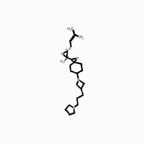 CC(C)=CC[C@H]1O[C@@]1(C)C1OC12CCC(N1CC(CCCN3CCCC3)C1)CC2